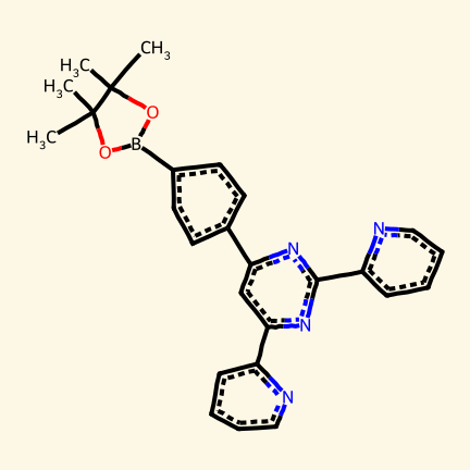 CC1(C)OB(c2ccc(-c3cc(-c4ccccn4)nc(-c4ccccn4)n3)cc2)OC1(C)C